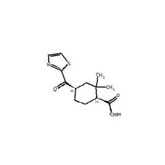 COC(=O)[C@H]1CC[C@@H](C(=O)c2nccs2)CC1(C)C